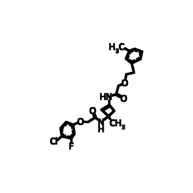 Cc1cccc(CCOCC(=O)NC2=CC(C)(NC(=O)COc3ccc(Cl)c(F)c3)C2)c1